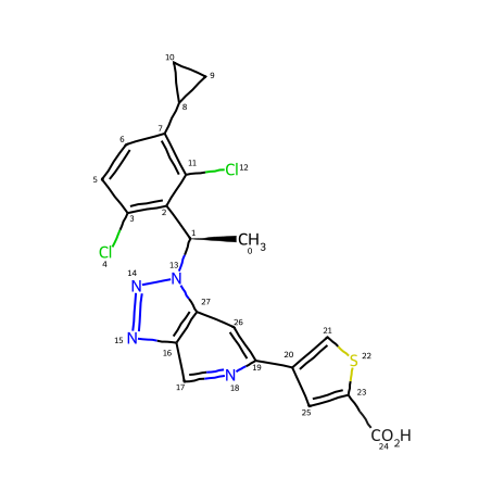 C[C@H](c1c(Cl)ccc(C2CC2)c1Cl)n1nnc2cnc(-c3csc(C(=O)O)c3)cc21